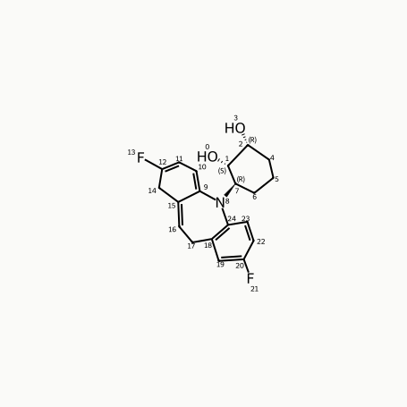 O[C@@H]1[C@H](O)CCC[C@H]1N1C2=CC=C(F)CC2=CCc2cc(F)ccc21